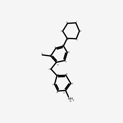 Cc1cc(C2CCCCC2)ccc1Cc1ccc(N)cc1